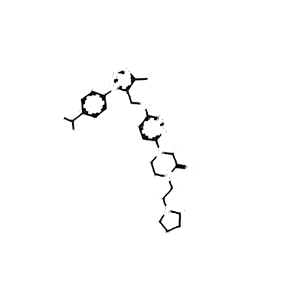 Cc1nnn(-c2ccc(C(F)F)cc2)c1COc1ccc(N2CCN(CCN3CCCC3)C(=O)C2)nn1